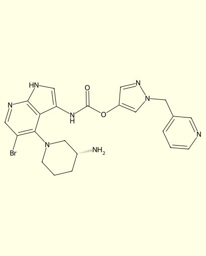 N[C@@H]1CCCN(c2c(Br)cnc3[nH]cc(NC(=O)Oc4cnn(Cc5cccnc5)c4)c23)C1